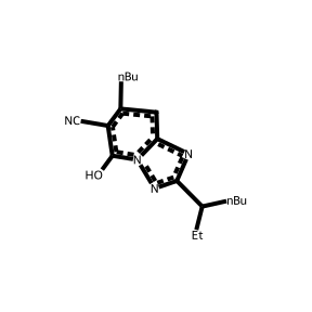 CCCCc1cc2nc(C(CC)CCCC)nn2c(O)c1C#N